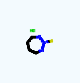 Cl.S=[n+]1nccccn1